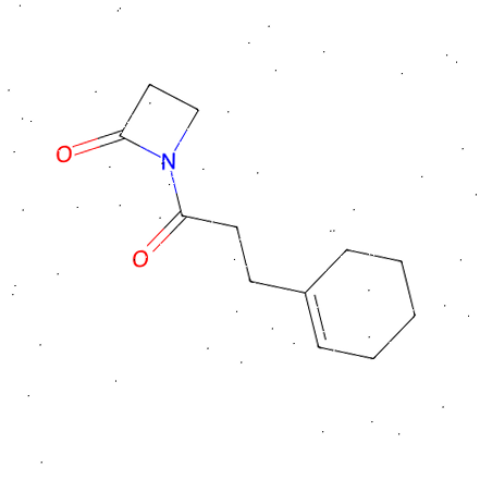 O=C(CCC1=CCCCC1)N1CCC1=O